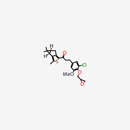 COc1cc(CCC(=O)c2sc(C)c3c2C[C@@H]2[C@H]3C2(C)C)cc(Cl)c1OCC1CO1